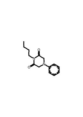 CCCCN1C(=O)CN(c2ccccc2)CC1=O